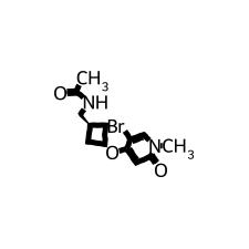 CC(=O)NC[C@H]1C[C@H](Oc2cc(=O)n(C)cc2Br)C1